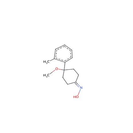 COC1(c2ccccc2C)CCC(=NO)CC1